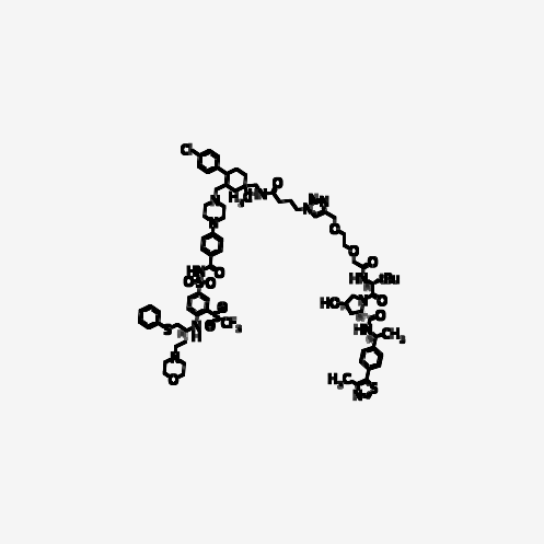 Cc1ncsc1-c1ccc([C@H](C)NC(=O)[C@@H]2C[C@@H](O)CN2C(=O)[C@@H](NC(=O)COCCOCc2cn(CCCC(=O)NCC3(C)CCC(c4ccc(Cl)cc4)=C(CN4CCN(c5ccc(C(=O)NS(=O)(=O)c6ccc(N[C@H](CCN7CCOCC7)CSc7ccccc7)c(S(=O)(=O)C(F)(F)F)c6)cc5)CC4)C3)nn2)C(C)(C)C)cc1